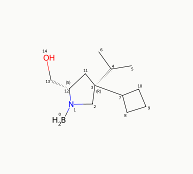 BN1C[C@](C(C)C)(C2CCC2)C[C@H]1CO